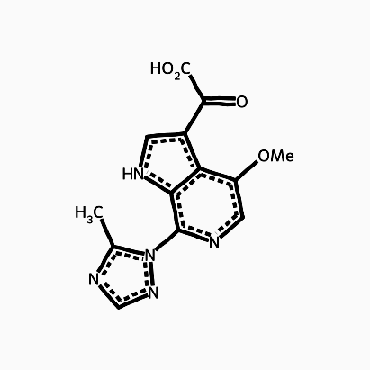 COc1cnc(-n2ncnc2C)c2[nH]cc(C(=O)C(=O)O)c12